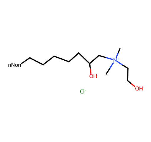 CCCCCCCCCCCCCCC(O)C[N+](C)(C)CCO.[Cl-]